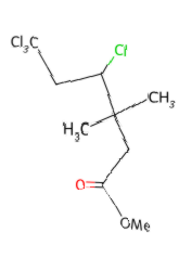 COC(=O)CC(C)(C)C(Cl)CC(Cl)(Cl)Cl